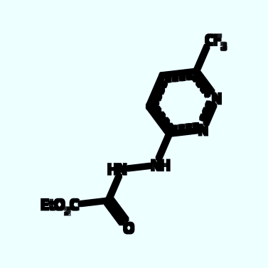 CCOC(=O)C(=O)NNc1ccc(C(F)(F)F)nn1